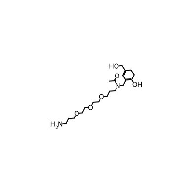 CC(=O)N(CCCOCCOCCOCCCN)CC1=C(O)CCC(CO)=C1